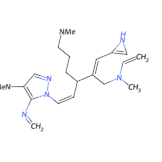 C=CN(C)C/C(=C\C1=CN1)C(/C=C\n1ncc(NC)c1N=C)CCCNC